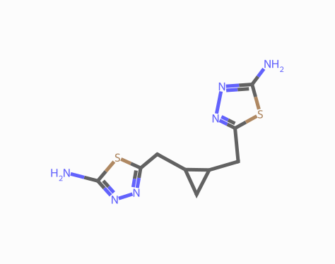 Nc1nnc(CC2CC2Cc2nnc(N)s2)s1